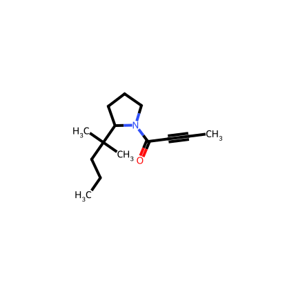 CC#CC(=O)N1CCCC1C(C)(C)CCC